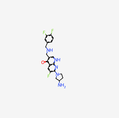 NC1CCN(c2nc3[nH]cc(CNCc4ccc(F)c(F)c4)c(=O)c3cc2F)C1